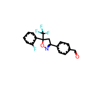 O=Cc1ccc(C2=NOC(c3ccccc3F)(C(F)(F)F)C2)cc1